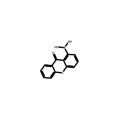 O=c1c2ccccc2sc2cccc(B(O)O)c12